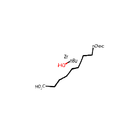 CCCCCCCCCCCCCCCCCC(=O)O.CCCCO.[Zr]